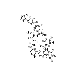 Cc1ncsc1-c1ccc(CNC(=O)[C@@H]2C[C@@H](O)CN2C(=O)C(NC(=O)CCNC(=O)c2ccc(F)c(-c3ccc(N4C[C@@H](C)N(C)[C@@H](C)C4)c(NC(=O)c4c[nH]c(=O)cc4C(F)(F)F)c3)c2)C(C)(C)C)cc1